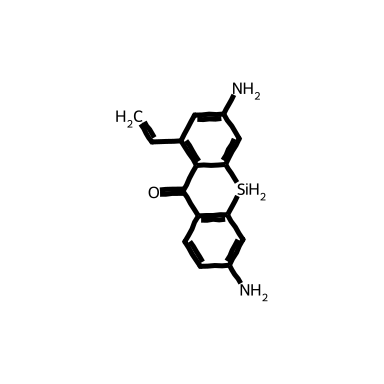 C=Cc1cc(N)cc2c1C(=O)c1ccc(N)cc1[SiH2]2